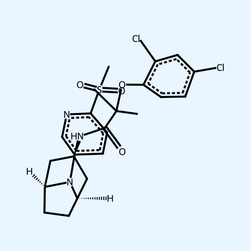 CC(C)(Oc1ccc(Cl)cc1Cl)C(=O)N[C@H]1C[C@H]2CC[C@@H](C1)N2c1ccc(S(C)(=O)=O)nc1